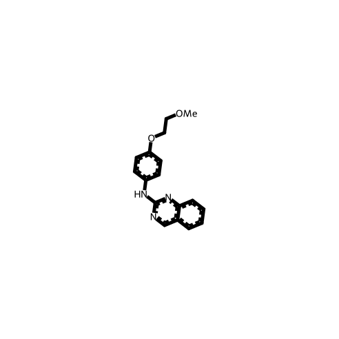 COCCOc1ccc(Nc2ncc3ccccc3n2)cc1